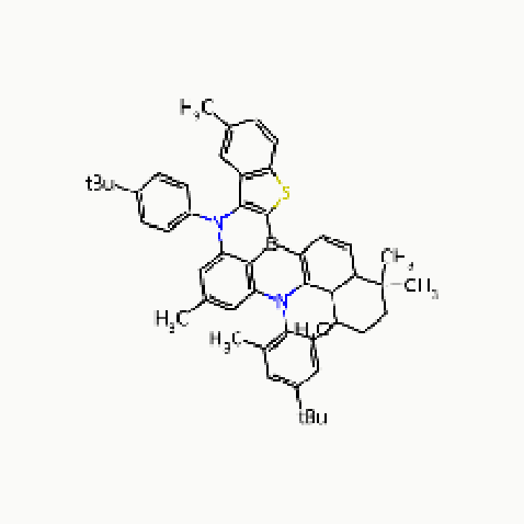 Cc1cc2c3c(c1)N(c1ccc(C(C)(C)C)cc1)c1c(sc4ccc(C)cc14)B3C1=C3C4C(C=C1)C(C)(C)CCC4(C)c1cc(C(C)(C)C)cc(C)c1N32